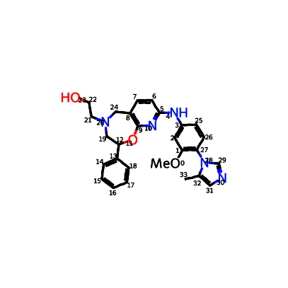 COc1cc(Nc2ccc3c(n2)OC(c2ccccc2)CN(CCO)C3)ccc1-n1cncc1C